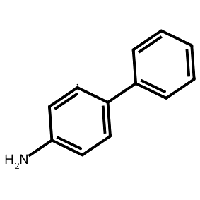 Nc1c[c]c(-c2ccccc2)cc1